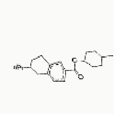 CCCC1CCc2cc(C(=O)OC3CCC(C)CC3)ccc2C1